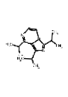 CC(C)c1nccn2c(C(C)C)nc(C(C)C)c12